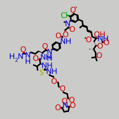 COc1cc(C/C(C)=C/C=C/[C@@H](OC)[C@@]2(O)C[C@@H]([C@@H](C)[C@@H]3OC3(C)C)OC(=O)N2)cc(N(C)C(=O)COC(=O)Nc2ccc(NC(=O)[C@H](CCCNC(N)=O)NC(=O)[C@@H](NC(=S)NCCOCCOCCC(=O)ON3C(=O)CCC3=O)C(C)C)cc2)c1Cl